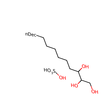 CCCCCCCCCCCCCCCCC(O)C(O)CO.O=S(=O)(O)O